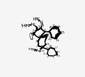 N=NC1C(=O)C2(CCC(N=N)(C3CCCCCCC3)CC2)C(c2ccccc2)C1N=N